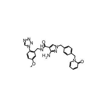 COc1ccc(-n2cnnn2)c(CNC(=O)c2cn(Cc3ccc(Cn4ccccc4=O)cc3)nc2N)c1